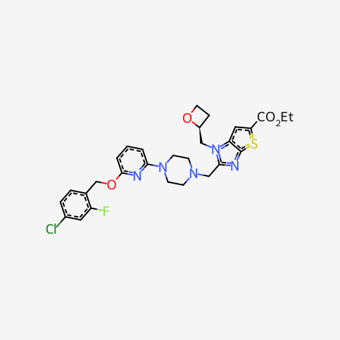 CCOC(=O)c1cc2c(nc(CN3CCN(c4cccc(OCc5ccc(Cl)cc5F)n4)CC3)n2C[C@@H]2CCO2)s1